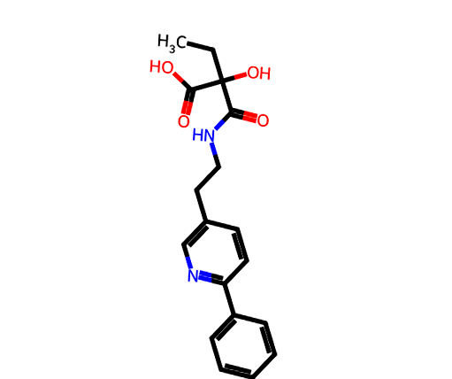 CCC(O)(C(=O)O)C(=O)NCCc1ccc(-c2ccccc2)nc1